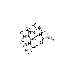 NC(=O)N(N)c1nc(N(N)C(N)=O)c([N+](=O)[O-])[n+]([O-])c1[N+](=O)[O-]